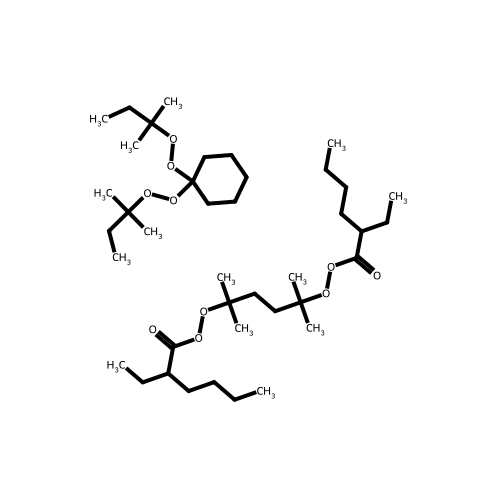 CCC(C)(C)OOC1(OOC(C)(C)CC)CCCCC1.CCCCC(CC)C(=O)OOC(C)(C)CCC(C)(C)OOC(=O)C(CC)CCCC